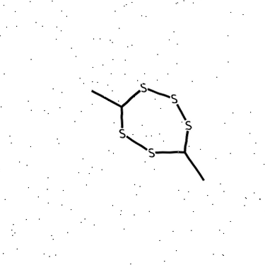 CC1SSSC(C)SS1